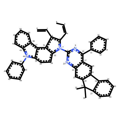 C=Cc1c(/C=C\C)n(-c2nc(-c3ccccc3)c3cc4c(cc3n2)C(C)(C)c2ccccc2-4)c2ccc3c(c4ccccc4n3-c3ccccc3)c12